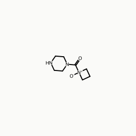 O=C(N1CCNCC1)[N+]1([O-])CCC1